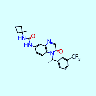 C[C@@H](c1cccc(C(F)(F)F)c1)n1c(=O)cnc2cc(NC(=O)NC3(C)CCC3)ccc21